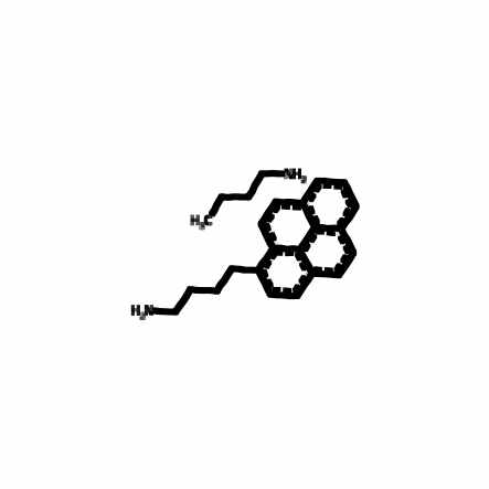 CCCCN.NCCCCc1ccc2ccc3cccc4ccc1c2c34